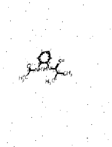 CC(=O)Nc1ccccc1NC(=S)C(C)C